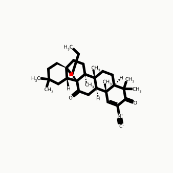 [C-]#[N+]C1=C[C@]2(C)[C@H]3CC(=O)[C@]45OC(CC)[C@@]6(CCC(C)(C)C[C@H]64)CC[C@@]5(C)[C@]3(C)CC[C@H]2C(C)(C)C1=O